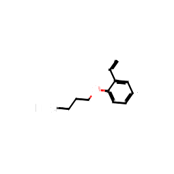 C=Cc1ccccc1OCCC[SiH3]